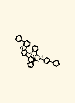 c1ccc(C2=NC(c3ccccc3-n3c4ccccc4c4ccc5oc6c(-c7ccccc7)cccc6c5c43)NC(c3ccc(-c4ccccc4)cc3)=N2)cc1